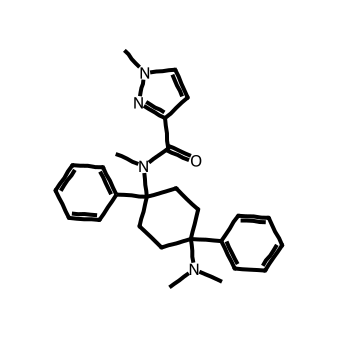 CN(C)C1(c2ccccc2)CCC(c2ccccc2)(N(C)C(=O)c2ccn(C)n2)CC1